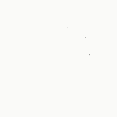 [O]S(=O)(=O)c1ccncc1